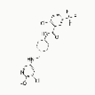 COc1ncc(NC[C@H]2CC[C@H](NC(=O)c3cc(C(F)(F)F)ccc3Cl)CC2)cc1Cl